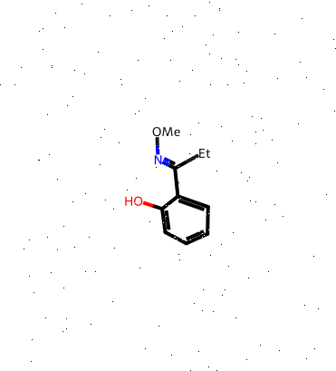 CCC(=NOC)c1ccccc1O